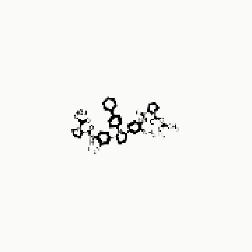 C=C(C)OC(=O)N1CCC[C@H]1C(=O)Nc1ccc([C@H]2CC[C@H](c3ccc(NC(=O)[C@@H]4CCCN4C(=O)OC(C)(C)C)c(N)c3)N2c2ccc(C3CCCCC3)cc2)cc1N